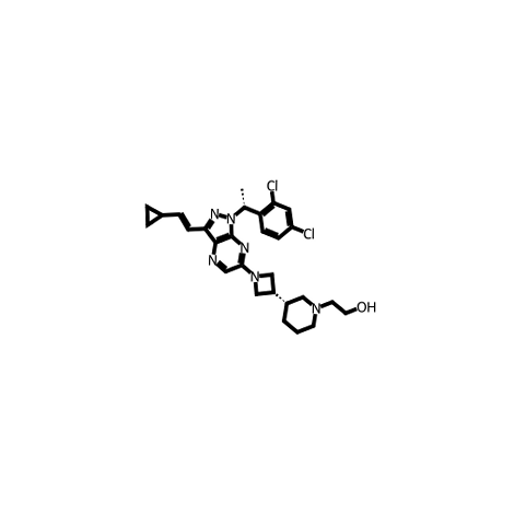 C[C@H](c1ccc(Cl)cc1Cl)n1nc(/C=C/C2CC2)c2ncc(N3CC([C@H]4CCCN(CCO)C4)C3)nc21